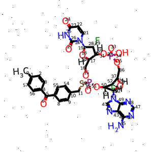 Cc1ccc(C(=O)c2ccc(CSP3(=O)OC[C@H]4O[C@@H](n5ccc(=O)[nH]c5=O)[C@H](F)[C@@H]4OP(=O)(O)OC[C@H]4O[C@@H](n5cnc6c(N)ncnc65)[C@H](O3)[C@@H]4F)cc2)cc1